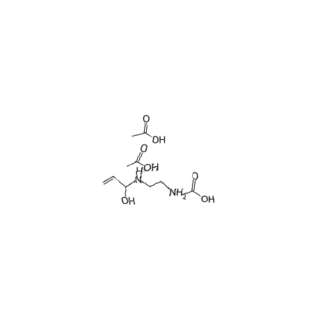 C=CC(O)NCCN.CC(=O)O.CC(=O)O.CC(=O)O